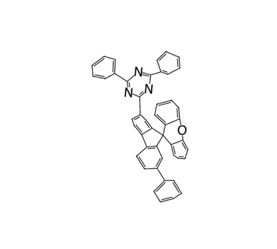 c1ccc(-c2ccc3c(c2)C2(c4ccccc4Oc4ccccc42)c2cc(-c4nc(-c5ccccc5)nc(-c5ccccc5)n4)ccc2-3)cc1